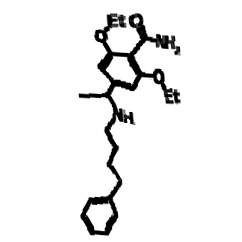 CCOc1cc(C(C)NCCCCc2ccccc2)cc(OCC)c1C(N)=O